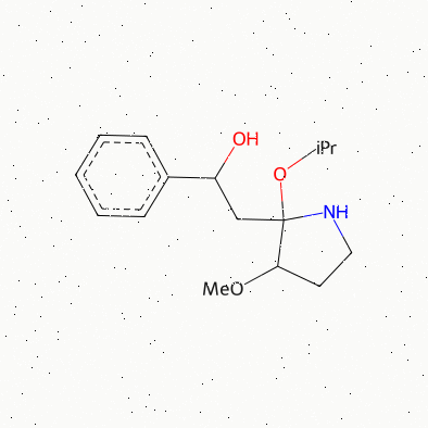 COC1CCNC1(CC(O)c1ccccc1)OC(C)C